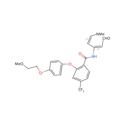 CN/C=C\C(=C/C=O)NC(=O)c1ccc(C(F)(F)F)cc1Oc1ccc(OCCOC)cc1